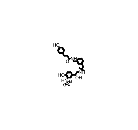 CC(C)(Cc1cccc(CNC(=O)CCc2ccc(O)cc2)c1)NC[C@H](O)c1ccc(O)c(NS(C)(=O)=O)c1